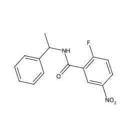 CC(NC(=O)c1cc([N+](=O)[O-])ccc1F)c1ccccc1